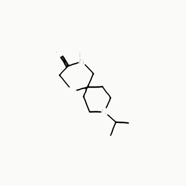 CC(C)N1CCC2(CC1)CNC(=O)CO2